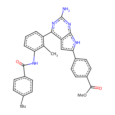 COC(=O)c1ccc(-c2cc3c(-c4cccc(NC(=O)c5ccc(C(C)(C)C)cc5)c4C)nc(N)nc3[nH]2)cc1